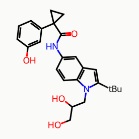 CC(C)(C)c1cc2cc(NC(=O)C3(c4cccc(O)c4)CC3)ccc2n1CC(O)CO